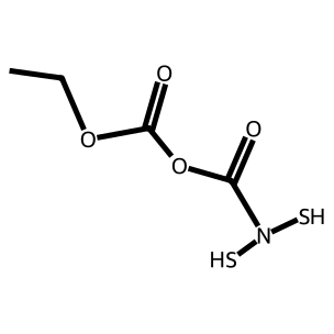 CCOC(=O)OC(=O)N(S)S